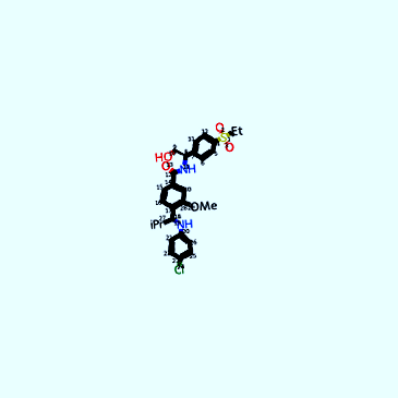 CCS(=O)(=O)c1ccc([C@H](CO)NC(=O)c2ccc(C(Nc3ccc(Cl)cc3)C(C)C)c(OC)c2)cc1